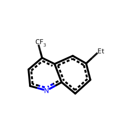 CCc1ccc2nccc(C(F)(F)F)c2c1